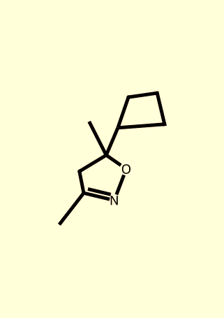 CC1=NOC(C)(C2CCC2)C1